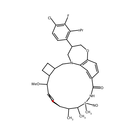 CCCc1c(C2COc3ccc4cc3N(C2)CC2CCC2C(OC)C2=CC(C2)C(C)C(C)S(C)(N=O)NC4=O)ccc(Cl)c1F